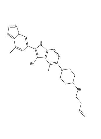 C=CCCNC1CCN(c2ncc3[nH]c(-c4cc(C)c5ncnn5c4)c(C(C)C)c3c2C)CC1